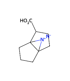 [N-]=[N+]1C23CCCC12C(C(=O)O)CC3